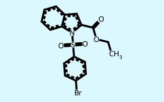 CCOC(=O)c1cc2ccccc2n1S(=O)(=O)c1ccc(Br)cc1